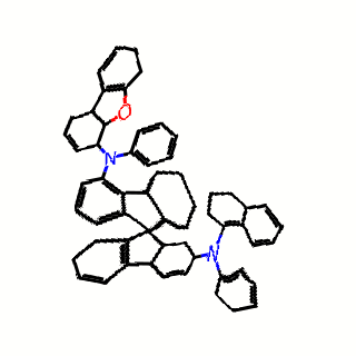 C1=CCCC(N(C2=C3C=CC=CC3CCC2)C2C=CC3C4=C(CCC=C4)C4(c5cccc(N(c6ccccc6)C6C=CCC7C8=C(CCC=C8)OC76)c5C5CCCCC54)C3C2)=C1